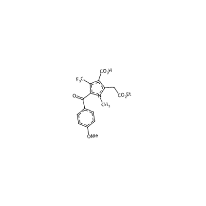 CCOC(=O)Cc1c(C(=O)O)c(C(F)(F)F)c(C(=O)c2ccc(OC)cc2)n1C